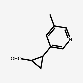 Cc1cncc(C2CC2C=O)c1